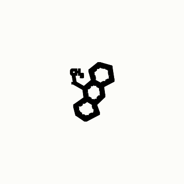 C[CH]c1c2ccccc2cc2ccccc12